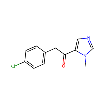 Cn1cncc1C(=O)Cc1ccc(Cl)cc1